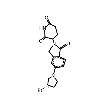 CC[C@H]1CCN(c2ccc3c(c2)CN(C2CCC(=O)NC2=O)C3=O)C1